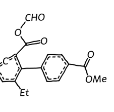 CCc1cccc(C(=O)OC=O)c1-c1ccc(C(=O)OC)cc1